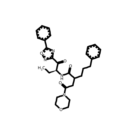 CC[C@H](NC(=O)C(CCCc1ccccc1)CC(=O)N1CCOCC1)C(=O)c1noc(-c2ccccc2)n1